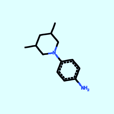 CC1CC(C)CN(c2ccc(N)cc2)C1